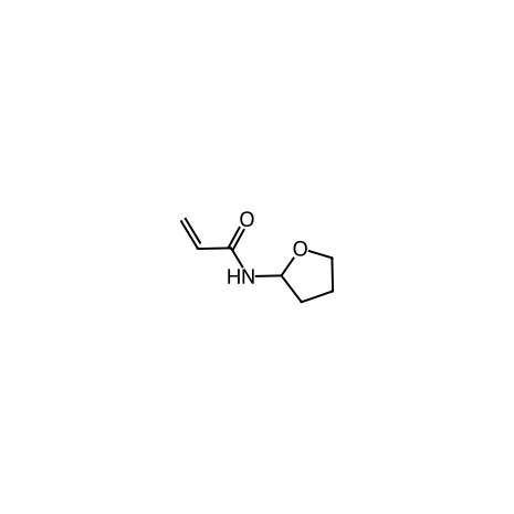 C=CC(=O)NC1CCCO1